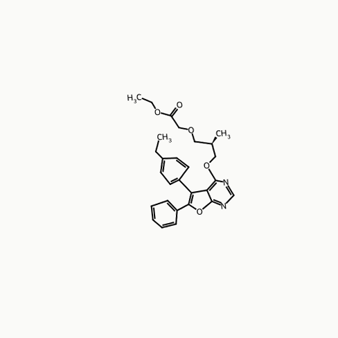 CCOC(=O)COC[C@@H](C)COc1ncnc2oc(-c3ccccc3)c(-c3ccc(CC)cc3)c12